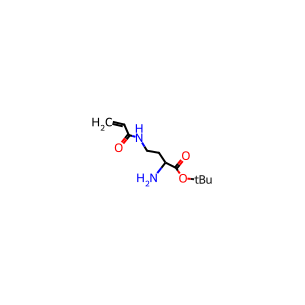 C=CC(=O)NCCC(N)C(=O)OC(C)(C)C